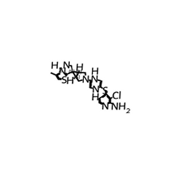 Cc1csc([C@]2(CN)[C@@H]3CN(C4=CNC(Sc5ccnc(N)c5Cl)=CN4)C[C@@H]32)n1